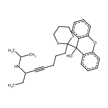 CCC(C#CCCCC1(C2(O)c3ccccc3Oc3ccccc32)SCCCS1)NC(C)C